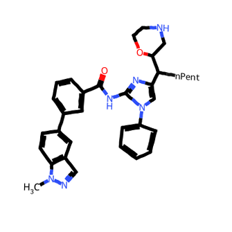 CCCCCC(c1cn(-c2ccccc2)c(NC(=O)c2cccc(-c3ccc4c(cnn4C)c3)c2)n1)C1CNCCO1